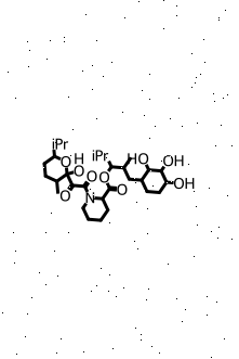 CC(C)C1CCC(C)C(O)(C(=O)C(=O)N2CCCCC2C(=O)OC(C(C)C)C(C)CC2CCC(O)C(O)C2O)O1